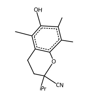 Cc1c(C)c2c(c(C)c1O)CCC(C#N)(C(C)C)O2